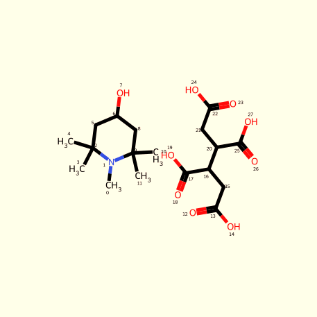 CN1C(C)(C)CC(O)CC1(C)C.O=C(O)CC(C(=O)O)C(CC(=O)O)C(=O)O